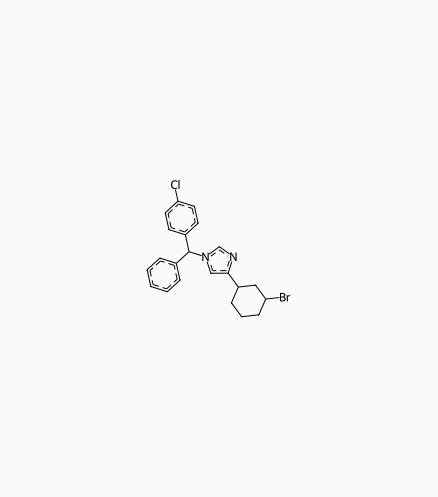 Clc1ccc(C(c2ccccc2)n2cnc(C3CCCC(Br)C3)c2)cc1